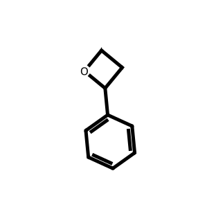 [CH]1CC(c2ccccc2)O1